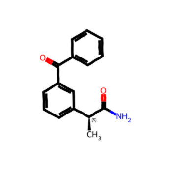 C[C@H](C(N)=O)c1cccc(C(=O)c2ccccc2)c1